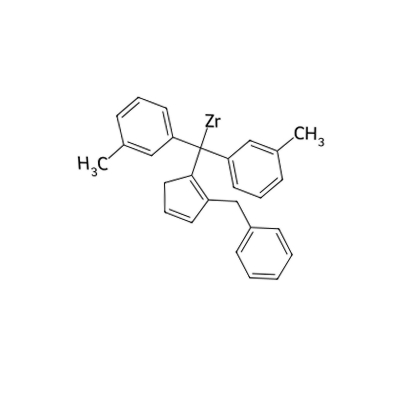 Cc1cccc([C]([Zr])(C2=C(Cc3ccccc3)C=CC2)c2cccc(C)c2)c1